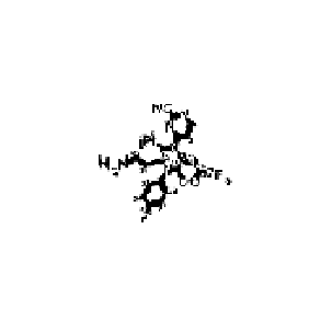 CC(C)CN(c1ccnc(C#N)n1)N(OC(=O)C(F)(F)F)C(=O)N(CCCN)c1ccc(F)cc1